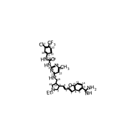 CCN1CC(C=Cc2cc3cc(C(=N)N)ccc3o2)C(CNc2cc(C)nc(NC(=O)Nc3ccc(C(F)(F)F)c(Cl)c3)n2)C1